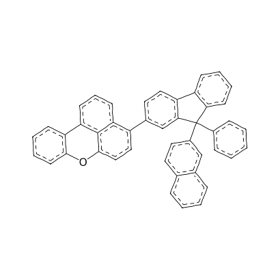 c1ccc(C2(c3ccc4ccccc4c3)c3ccccc3-c3ccc(-c4ccc5c6c(cccc46)-c4ccccc4O5)cc32)cc1